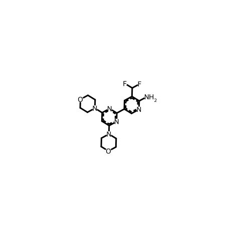 Nc1ncc(-c2nc(N3CCOCC3)cc(N3CCOCC3)n2)cc1C(F)F